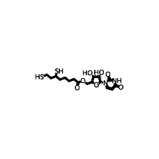 O=C(CCCCC(S)CCS)OCC1O[C@@H](n2ccc(=O)[nH]c2=O)[C@H](O)[C@@H]1O